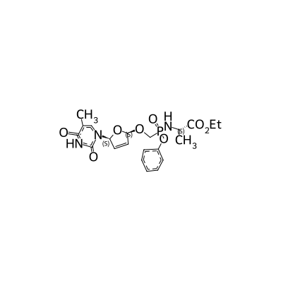 CCOC(=O)[C@H](C)NP(=O)(CO[C@H]1C=C[C@@H](n2cc(C)c(=O)[nH]c2=O)O1)Oc1ccccc1